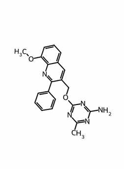 COc1cccc2cc(COc3nc(C)nc(N)n3)c(-c3ccccc3)nc12